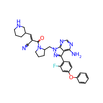 N#CC(=CC1CCCNC1)C(=O)N1CCCC1Cn1nc(-c2ccc(Oc3ccccc3)cc2F)c2c(N)ncnc21